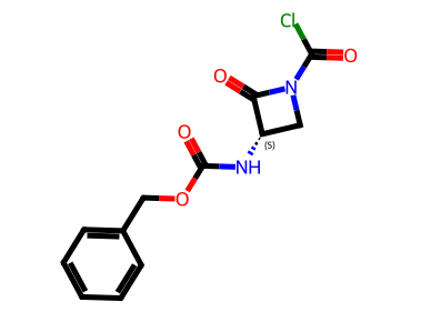 O=C(N[C@H]1CN(C(=O)Cl)C1=O)OCc1ccccc1